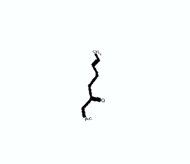 C/C=C/CCC(=O)CC(C)=O